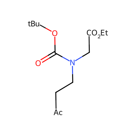 CCOC(=O)CN(CCC(C)=O)C(=O)OC(C)(C)C